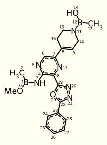 COB(C)Nc1ncc(C2=CCN(B(C)O)CC2)nc1-c1nnc(-c2ccccc2)o1